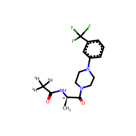 [2H]C([2H])([2H])C(=O)N[C@H](C)C(=O)N1CCN(c2cccc(C(F)(F)F)c2)CC1